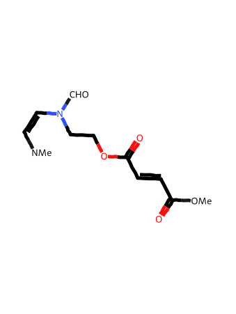 CN/C=C\N(C=O)CCOC(=O)/C=C/C(=O)OC